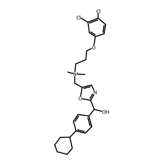 C[N+](C)(CCCOc1ccc(Cl)c(Cl)c1)Cc1cnc(C(O)c2ccc(C3CCCCC3)cc2)o1